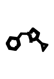 c1ccc(Cn2ccc(C3CC3)n2)cc1